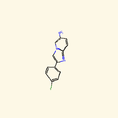 Nc1ccc2nc(-c3ccc(F)cc3)cn2c1